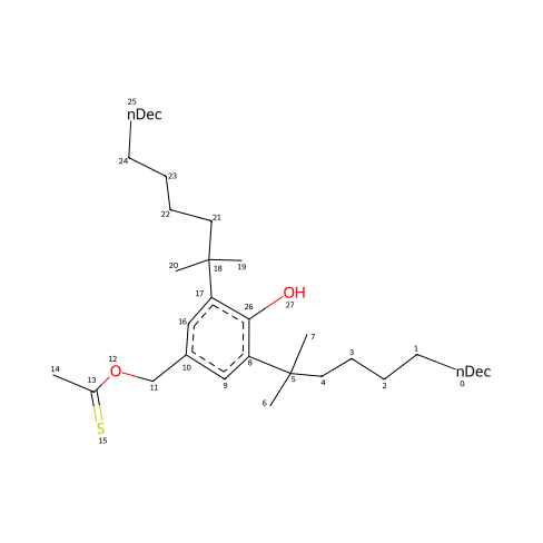 CCCCCCCCCCCCCCC(C)(C)c1cc(COC(C)=S)cc(C(C)(C)CCCCCCCCCCCCCC)c1O